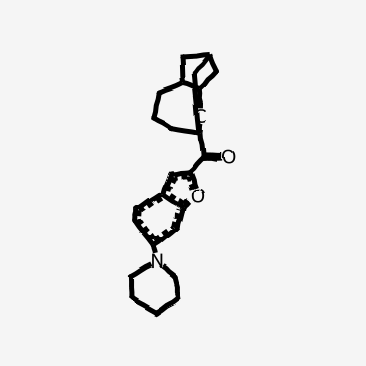 O=C(c1cc2ccc(N3CCCCC3)cc2o1)C12CCCC3CC(CC3C1)C2